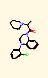 CC(C(=O)N1CCN(c2ccccc2Cl)c2ccccc21)N1CCCCC1